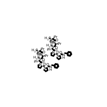 CC(C)[C@H](NC(=O)[C@H](C(C)C)N(C)C)C(=O)N(C)[C@H](C(=O)N1CCC[C@H]1C(=O)N1CCC[C@H]1C(=O)NCc1ccccc1)C(C)C.CC(C)[C@H](NC(=O)[C@H](C(C)C)N(C)C)C(=O)N(C)[C@H](C(=O)N1CCC[C@H]1C(=O)N1CCC[C@H]1C(=O)NCc1ccccc1)C(C)C